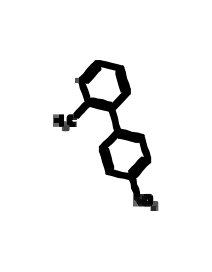 Cc1[c]cccc1-c1ccc([N+](=O)[O-])cc1